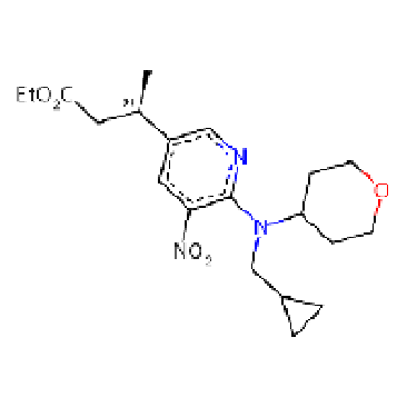 CCOC(=O)C[C@@H](C)c1cnc(N(CC2CC2)C2CCOCC2)c([N+](=O)[O-])c1